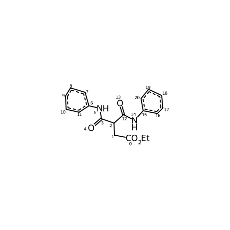 CCOC(=O)CC(C(=O)Nc1ccccc1)C(=O)Nc1ccccc1